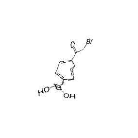 O=C(CBr)c1ccc(B(O)O)cc1